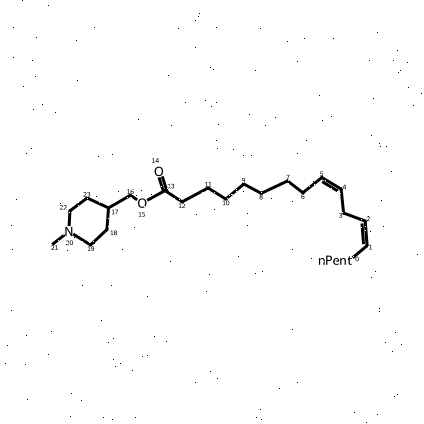 CCCCC/C=C\C/C=C\CCCCCCCC(=O)OCC1CCN(C)CC1